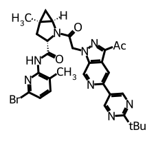 CC(=O)c1nn(CC(=O)N2[C@H](C(=O)Nc3nc(Br)ccc3C)C[C@@]3(C)C[C@@H]23)c2cnc(-c3cnc(C(C)(C)C)nc3)cc12